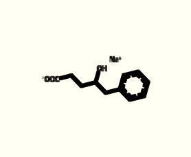 O=C([O-])CCC(O)Cc1ccccc1.[Na+]